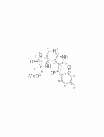 COC[C@]1(C)Nc2c(cnc3[nH]cc(C(=O)c4ccc(C)cc4Cl)c23)NC1=O